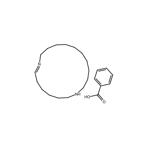 C1=N/CCCCCCCCCCNCCCCC/1.O=C(O)c1ccccc1